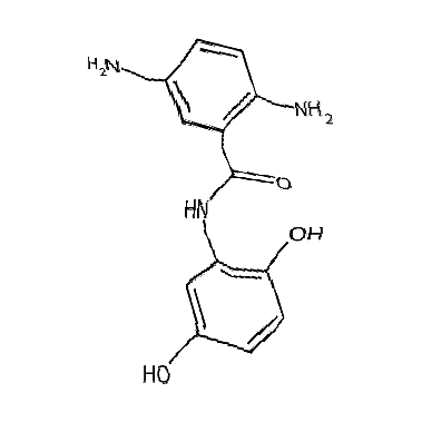 Nc1ccc(N)c(C(=O)Nc2cc(O)ccc2O)c1